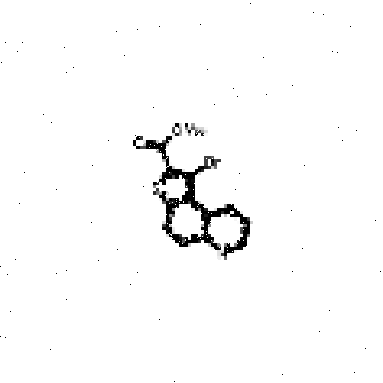 COC(=O)c1sc2ccc3ncccc3c2c1Br